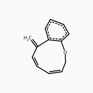 C=C1/C=C\C=C/COc2ccccc21